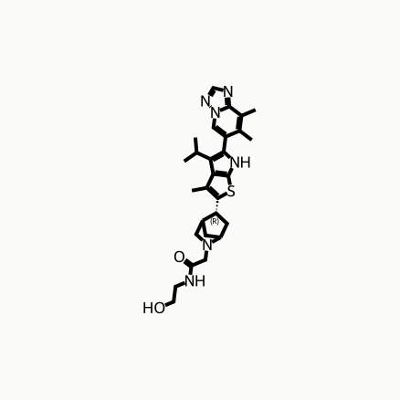 Cc1c(-c2[nH]c3sc([C@@H]4CC5CC4CN5CC(=O)NCCO)c(C)c3c2C(C)C)cn2ncnc2c1C